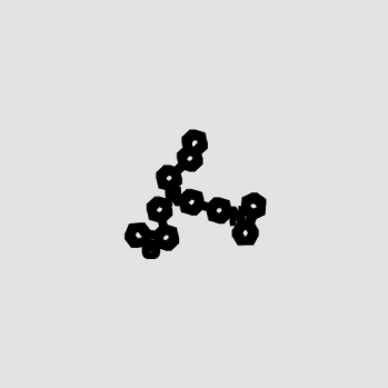 c1cc(-c2ccc3ccccc3c2)cc(N(c2ccc(-c3ccc(-n4c5ccccc5c5ccccc54)cc3)cc2)c2cccc(-c3cccc4oc5ccccc5c34)c2)c1